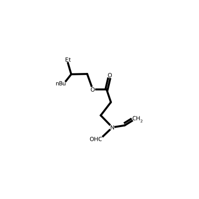 C=CN(C=O)CCC(=O)OCC(CC)CCCC